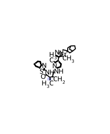 C=C(CNc1ccc(-c2cnn(CC3(CC)CC4CCC(C4)C3)c2C)c(C)n1)/C(=C\C)C(=O)Nc1nc2ccccc2s1